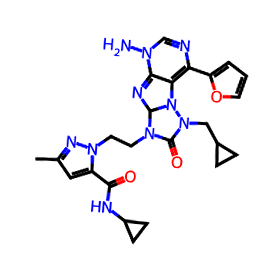 Cc1cc(C(=O)NC2CC2)n(CCN2C(=O)N(CC3CC3)N3C4=C(c5ccco5)N=CN(N)C4=NC23)n1